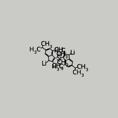 [Li][CH]1C(C)=C([Si](C)(C)C2=C(C)[CH]([Li])c3cc(C(C)C)cc(C)c32)c2c(C)cc(C(C)C)cc21